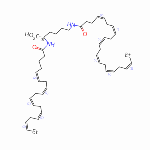 CC/C=C\C/C=C\C/C=C\C/C=C\C/C=C\C/C=C\CCC(=O)NCCCC[C@H](NC(=O)CCC/C=C\C/C=C\C/C=C\C/C=C\C/C=C\CC)C(=O)O